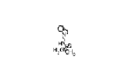 CN(C)[S+]([O-])NCCN1CCc2ccccc21